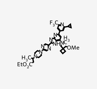 CCOC(=O)CC(C)N1CCN(c2cnc(-c3nc4nc(-c5cc(C6CC6)nc(C(F)(F)F)c5)cc(N(C)CC5(COC)CCC5)c4[nH]3)cn2)CC1